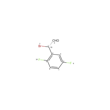 O=C[C@@H](Br)c1cc(F)ccc1F